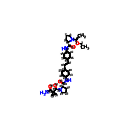 C=C(OCC)N1CCC[C@H]1C(=O)Nc1ccc(/C=C/c2ccc(NC(=O)[C@@H]3CCCN3C(=O)C3(C(N)=O)CC3)cc2)cc1